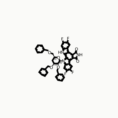 O=C1NC(=O)c2c1c1c3cc(F)c(F)cc3[nH]c1c1c2c2cc(F)c(F)cc2n1[C@@H]1O[C@H](COCc2ccccc2)C[C@H](OCc2ccccc2)[C@H]1OCc1ccccc1